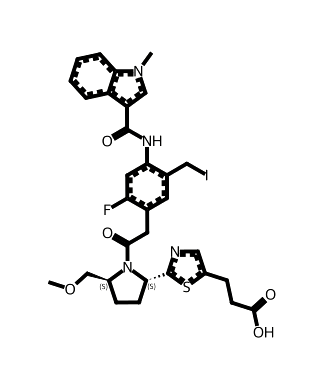 COC[C@@H]1CC[C@@H](c2ncc(CCC(=O)O)s2)N1C(=O)Cc1cc(CI)c(NC(=O)c2cn(C)c3ccccc23)cc1F